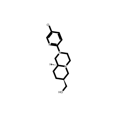 OC[C@H]1CC[C@H]2CN(c3ccc(Cl)cn3)CCN2C1